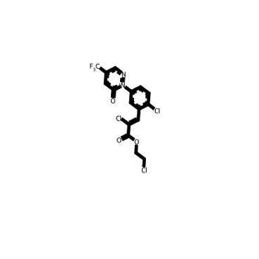 O=C(OCCCl)C(Cl)=Cc1cc(-n2ncc(C(F)(F)F)cc2=O)ccc1Cl